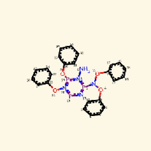 Nn1p(N(Oc2ccccc2)Oc2ccccc2)npn(Oc2ccccc2)p1Oc1ccccc1